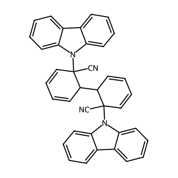 N#CC1(n2c3ccccc3c3ccccc32)C=CC=CC1C1C=CC=CC1(C#N)n1c2ccccc2c2ccccc21